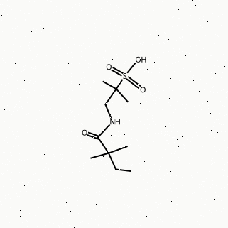 CCC(C)(C)C(=O)NCC(C)(C)S(=O)(=O)O